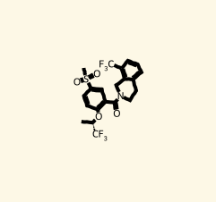 C[C@H](Oc1ccc(S(C)(=O)=O)cc1C(=O)N1CCc2cccc(C(F)(F)F)c2C1)C(F)(F)F